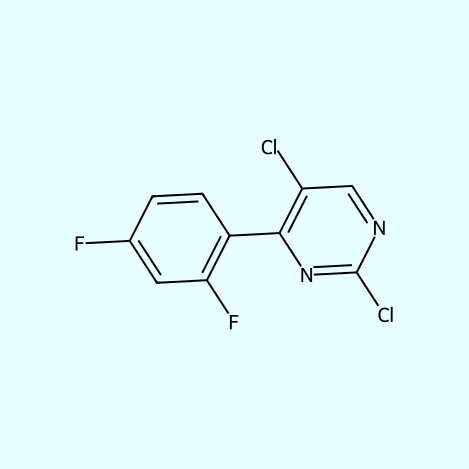 Fc1ccc(-c2nc(Cl)ncc2Cl)c(F)c1